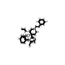 C=CC[C@@H]1CN(CCc2ccccc2)CC[C@@]1(O)c1nnc(C)n1-c1ccccc1